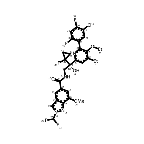 CCOc1c(CC)cc([C@@](O)(CNC(=O)c2cc(OC)c3nn(C(F)F)cc3c2)C2(F)CC2)nc1-c1cc(Cl)c(F)cc1F